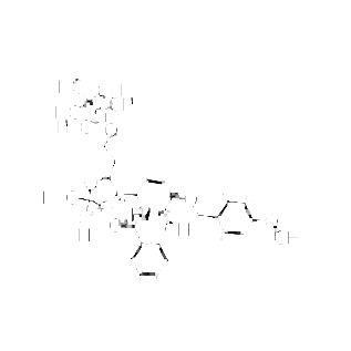 COc1ccc(CO[C@H](/C=C\C(OC(=O)c2ccccc2)[C@H]2OC(C)(C)O[C@H]2CCO[Si](C)(C)C(C)(C)C)[C@H](C)O)cc1